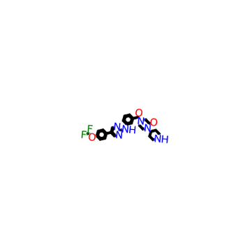 O=C(c1cccc(Nc2ncc(-c3ccc(OC(F)F)cc3)cn2)c1)N1CCN(C2CCNCC2)C(=O)C1